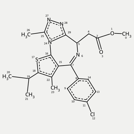 COC(=O)CC1N=C(c2ccc(Cl)cc2)c2c(sc(C(C)C)c2C)-n2c(C)nnc21